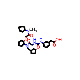 CN(C(=O)COc1ccccc1N(CC1CCCC1)C(=O)CNC(=O)Nc1cccc(CC(=O)O)c1)c1ccccc1